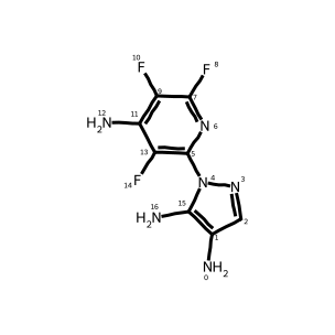 Nc1cnn(-c2nc(F)c(F)c(N)c2F)c1N